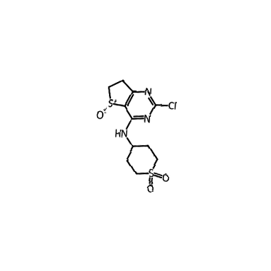 O=S1(=O)CCC(Nc2nc(Cl)nc3c2[S@+]([O-])CC3)CC1